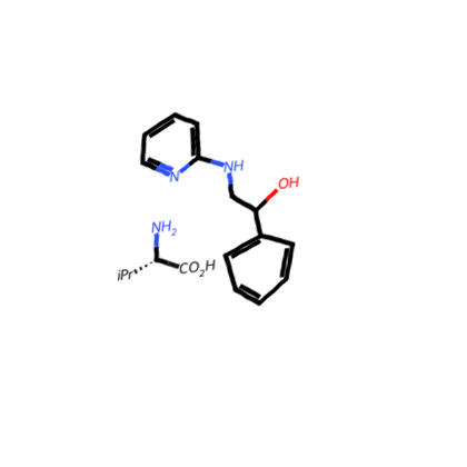 CC(C)[C@H](N)C(=O)O.OC(CNc1ccccn1)c1ccccc1